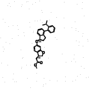 COC(=O)C[C@@H]1COc2cc(O[C@@H]3CCc4c(-c5ccccc5C(C)C)cccc43)ccc21